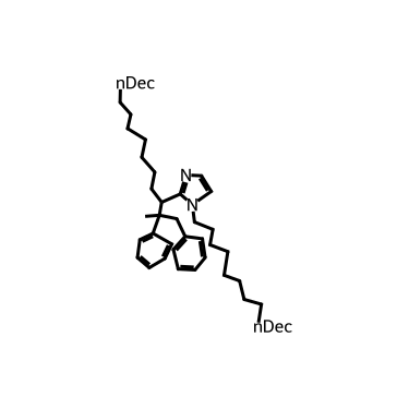 CCCCCCCCCCCCCCCCCCn1ccnc1C(CCCCCCCCCCCCCCCCC)C(C)(Cc1ccccc1)c1ccccc1